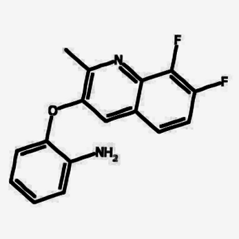 Cc1nc2c(F)c(F)ccc2cc1Oc1ccccc1N